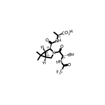 C[C@H](NC(=O)[C@@H]1[C@@H]2[C@H](CN1C(=O)[C@@H](NC(=O)C(F)(F)F)C(C)(C)C)C2(C)C)C(=O)O